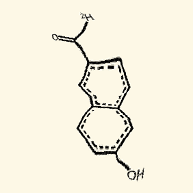 [2H]C(=O)c1ccc2cc(O)ccc2c1